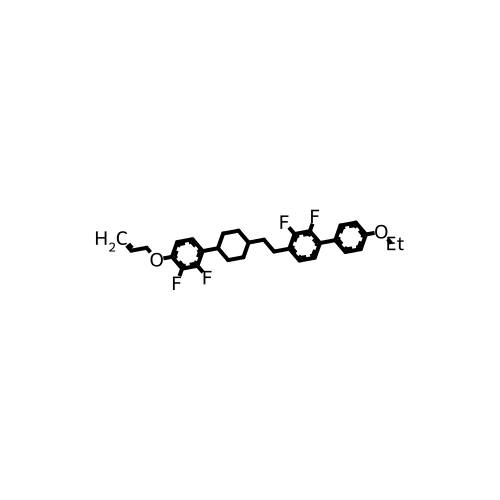 C=CCOc1ccc(C2CCC(CCc3ccc(-c4ccc(OCC)cc4)c(F)c3F)CC2)c(F)c1F